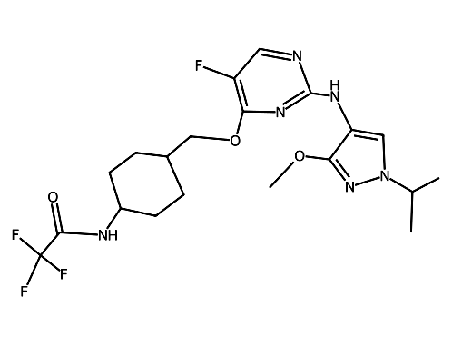 COc1nn(C(C)C)cc1Nc1ncc(F)c(OCC2CCC(NC(=O)C(F)(F)F)CC2)n1